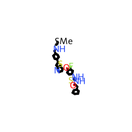 CSCCNCc1ccc(-c2cc3nccc(Oc4ccc(NC(=S)NC(=O)Cc5ccccc5)cc4F)c3s2)cc1